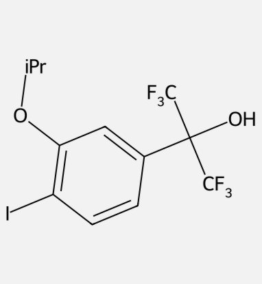 CC(C)Oc1cc(C(O)(C(F)(F)F)C(F)(F)F)ccc1I